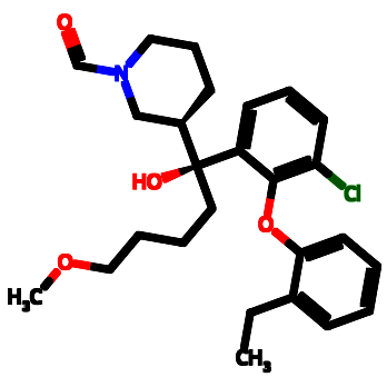 CCc1ccccc1Oc1c(Cl)cccc1[C@](O)(CCCCOC)[C@@H]1CCCN(C=O)C1